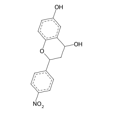 O=[N+]([O-])c1ccc(C2CC(O)c3cc(O)ccc3O2)cc1